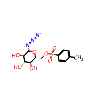 Cc1ccc(S(=O)(=O)OC[C@H]2O[C@@H](N=[N+]=[N-])[C@H](O)[C@@H](O)[C@@H]2O)cc1